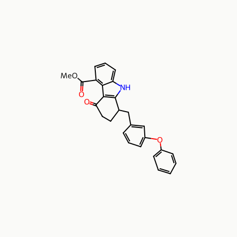 COC(=O)c1cccc2[nH]c3c(c12)C(=O)CCC3Cc1cccc(Oc2ccccc2)c1